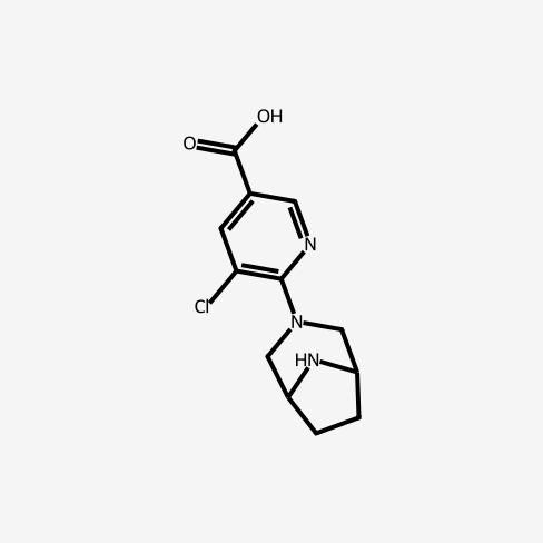 O=C(O)c1cnc(N2CC3CCC(C2)N3)c(Cl)c1